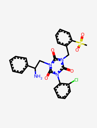 CS(=O)(=O)c1ccccc1Cn1c(=O)n(CC(N)c2ccccc2)c(=O)n(-c2ccccc2Cl)c1=O